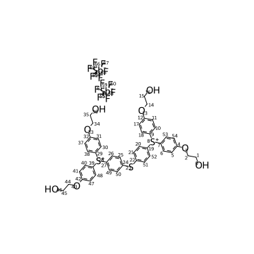 OCCOc1ccc([S+](c2ccc(OCCO)cc2)c2ccc(Sc3ccc([S+](c4ccc(OCCO)cc4)c4ccc(OCCO)cc4)cc3)cc2)cc1.[F][Sb-]([F])([F])([F])([F])[F].[F][Sb-]([F])([F])([F])([F])[F]